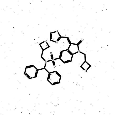 O=C1/C(=C/c2nccs2)c2cc(S(=O)(=O)N(CC3COC3)C(c3ccccc3)c3ccccc3)ccc2N1CC1COC1